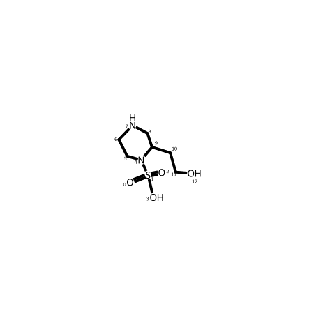 O=S(=O)(O)N1CCNCC1CCO